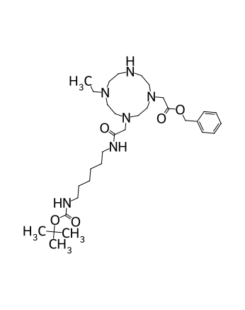 CCN1CCNCCN(CC(=O)OCc2ccccc2)CCN(CC(=O)NCCCCCCNC(=O)OC(C)(C)C)CC1